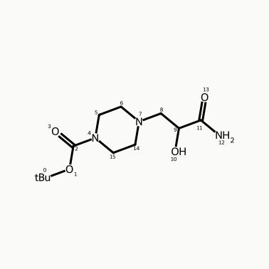 CC(C)(C)OC(=O)N1CCN(CC(O)C(N)=O)CC1